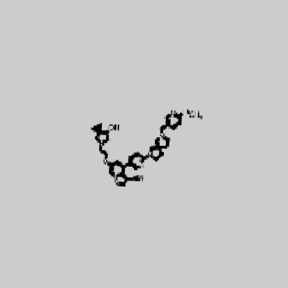 COc1ccc(CN2CCC3(CCN(c4ccc(-c5cc(OCCN6CC(O)C7(CC7)C6)cn6ncc(C#N)c56)cn4)C3)C2)cn1